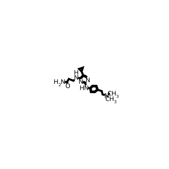 CN(C)CCc1ccc(Nc2ncc(C3CC3)c(NCCC(N)=O)n2)cc1